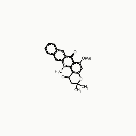 COc1cc2c(c3c1c(=O)c1cc4ccccc4cc1n3C)C(=O)[C]C(C)(C)O2